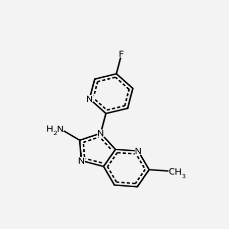 Cc1ccc2nc(N)n(-c3ccc(F)cn3)c2n1